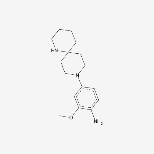 COc1cc(N2CCC3(CCCCN3)CC2)ccc1N